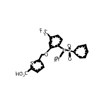 CC(C)N(c1ccc(C(F)(F)F)cc1OCc1ccc(C(=O)O)s1)S(=O)(=O)c1ccccc1